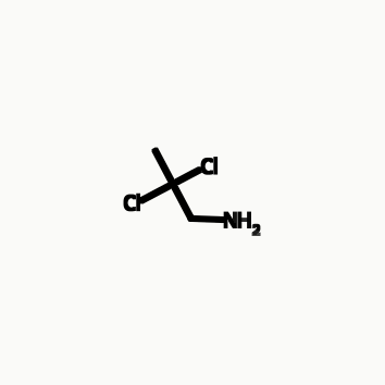 CC(Cl)(Cl)CN